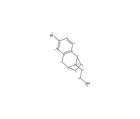 CC(C)c1ccc2c(n1)CC1CCC2N1CCO